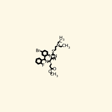 CCN(CC)CCSc1nnc2n1-c1ccc(Br)cc1C(c1ccccc1F)=N[C@H]2CCC(=O)OC